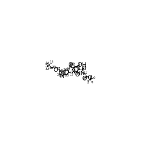 CC(C)(C)OC(=O)CNC(=O)c1c(O)c2c(n(Cc3ccc4c(c3)ncn4COCC[Si](C)(C)C)c1=O)COC2